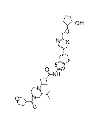 CC(C)[C@H]1CN(C(=O)C2CCOC2)CCN1C1CC(C(=O)Nc2nc3ccc(-c4cnc(CO[C@H]5CCC[C@@H]5O)nc4)cc3s2)C1